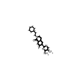 Nc1nc(-c2cc3ccn(CCC4CCCCC4)c(=O)c3cc2F)ncc1C(F)(F)F